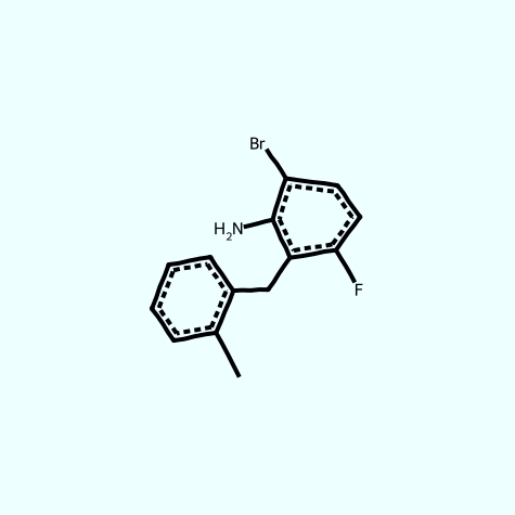 Cc1ccccc1Cc1c(F)ccc(Br)c1N